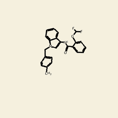 Cc1ccc(Cn2cc(NC(=O)c3ccccc3OC(F)F)c3ccccc32)cc1